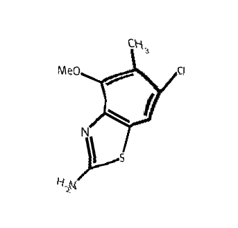 COc1c(C)c(Cl)cc2sc(N)nc12